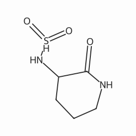 O=C1NCCCC1N[SH](=O)=O